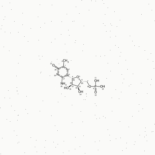 Cc1cn([C@@H]2O[C@H](COP(=O)(O)O)[C@@H](O)[C@H]2O)c(N)nc1=O